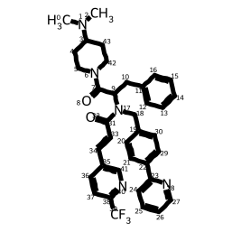 CN(C)C1CCN(C(=O)C(Cc2ccccc2)N(Cc2ccc(-c3ccccn3)cc2)C(=O)C=Cc2ccc(C(F)(F)F)nc2)CC1